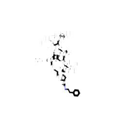 COCCOCCC(=O)N1C[C@@H](O/N=C\CCc2ccccc2)C[C@H]1C(=O)N[C@@H](CC(C)C)C(=O)N[C@@H](Cc1cnc[nH]1)C(=O)N[C@@H](CO)C(=O)N[C@H](C(N)=O)C(C)OP(=O)(O)O